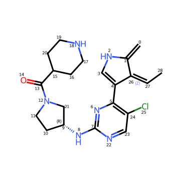 C=c1[nH]cc(-c2nc(N[C@@H]3CCN(C(=O)C4CCNCC4)C3)ncc2Cl)/c1=C/C